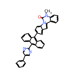 Cn1c(=O)n2c3ccc(-c4c5ccccc5c(-c5ncc(-c6ccccc6)cn5)c5ccccc45)cc3cc2c2ccccc21